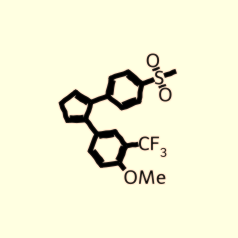 COc1ccc(C2=CCC=C2c2ccc(S(C)(=O)=O)cc2)cc1C(F)(F)F